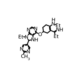 CCNC1=C(C(=N)CC)CC(Oc2ncnc3c2NC(c2cnc(C)nc2)N3CC)CC1